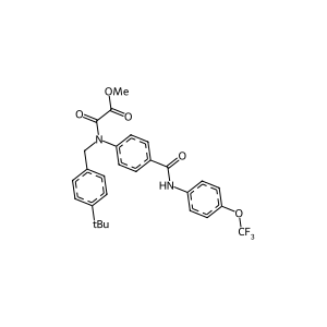 COC(=O)C(=O)N(Cc1ccc(C(C)(C)C)cc1)c1ccc(C(=O)Nc2ccc(OC(F)(F)F)cc2)cc1